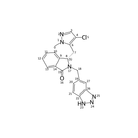 Cn1ncc(Cl)c1C[C@H]1c2ccccc2C(=O)N1Cc1ccc2[nH]nnc2c1